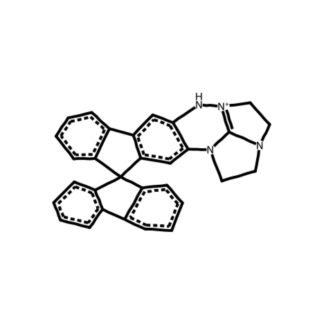 c1ccc2c(c1)-c1ccccc1C21c2ccccc2-c2cc3c(cc21)N1CCN2CC[N+](=C21)N3